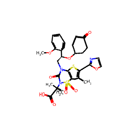 COc1ccccc1[C@H](CN1C(=O)N(C(C)(C)C(=O)O)S(=O)(=O)c2c1sc(-c1ncco1)c2C)OC1CCC(=O)CC1